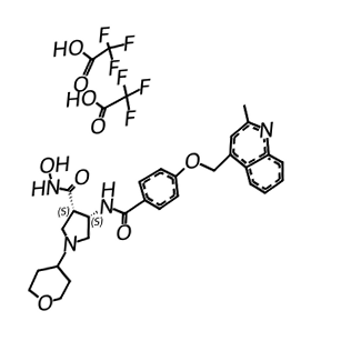 Cc1cc(COc2ccc(C(=O)N[C@@H]3CN(C4CCOCC4)C[C@@H]3C(=O)NO)cc2)c2ccccc2n1.O=C(O)C(F)(F)F.O=C(O)C(F)(F)F